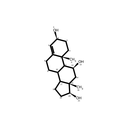 C[C@]12CC[C@H](O)C=C1CCC1C2[C@@H](O)C[C@@]2(C)C1CC[C@@H]2O